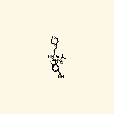 CC(C)S(=O)(=O)n1c(NCCCN2CCOCC2)nc2ccc(C=N)cc21